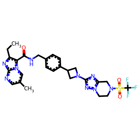 CCc1nc2ncc(C)cn2c1C(=O)NCc1ccc(C2CN(c3nc4n(n3)CCN(S(=O)(=O)C(F)(F)F)C4)C2)cc1